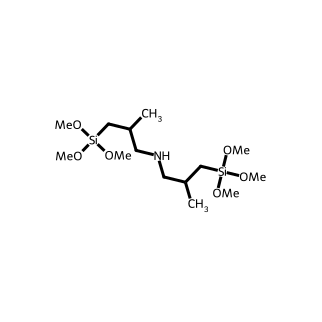 CO[Si](CC(C)CNCC(C)C[Si](OC)(OC)OC)(OC)OC